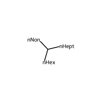 [CH2]CCCCCC(CCCCCCC)CCCCCCCCC